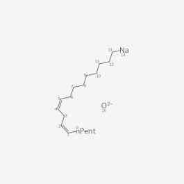 CCCCC/C=C\C/C=C\CCCCCCC[CH2][Na].[O-2]